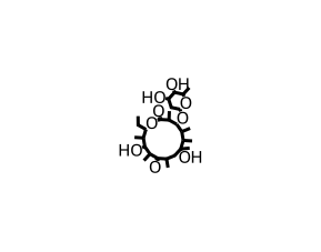 CCC1OC(=O)C(C)C(OC2CC(O)C(O)C(C)O2)C(C)C(C)C(C)(O)CC(C)C(=O)C(C)C(O)C1C